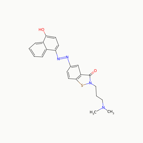 CN(C)CCCn1sc2ccc(N=Nc3ccc(O)c4ccccc34)cc2c1=O